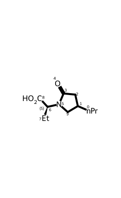 CCCC1CC(=O)N([C@@H](CC)C(=O)O)C1